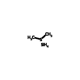 CSC.[SiH4]